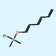 C=CC=CC=CO[Si](C)(C)C(C)C